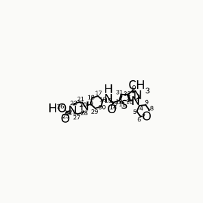 Cc1nn(C2CCOCC2)c2sc(C(=O)N[C@H]3CC[C@H](N4CCN(C(=O)O)CC4)CC3)cc12